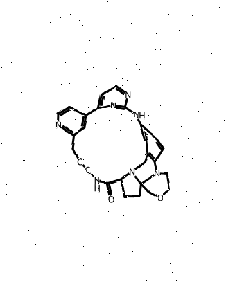 O=C1NCCCc2cc(ccn2)-c2ccnc(n2)Nc2ccc3c(c2)CN2C1CCC21COCCN31